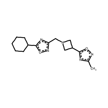 Cc1noc(C2CN(Cc3noc(C4CCCCC4)n3)C2)n1